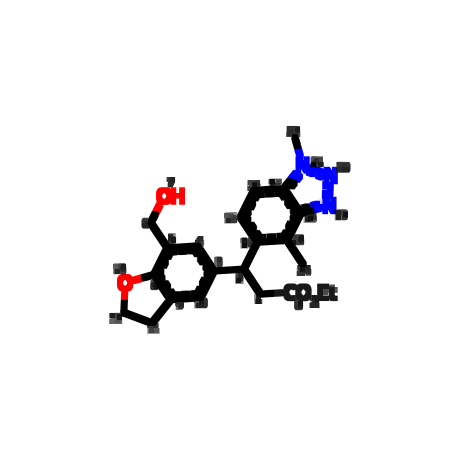 CCOC(=O)CC(c1cc(CO)c2c(c1)CCO2)c1ccc2c(nnn2C)c1C